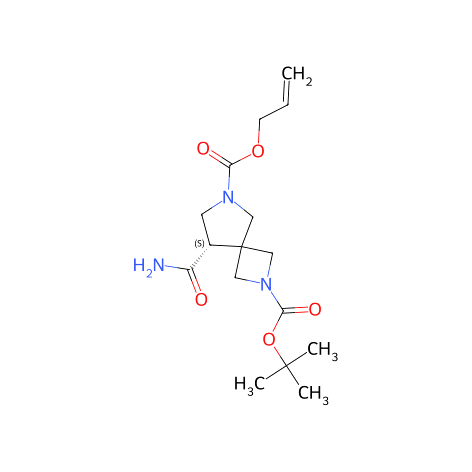 C=CCOC(=O)N1C[C@@H](C(N)=O)C2(C1)CN(C(=O)OC(C)(C)C)C2